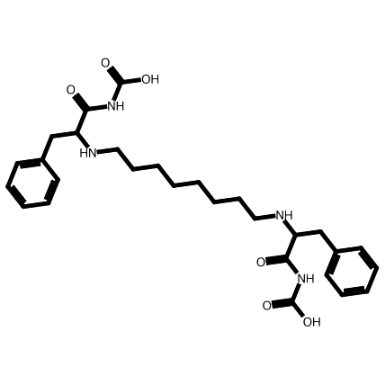 O=C(O)NC(=O)C(Cc1ccccc1)NCCCCCCCCNC(Cc1ccccc1)C(=O)NC(=O)O